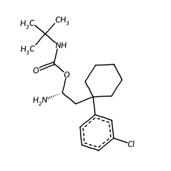 CC(C)(C)NC(=O)O[C@@H](N)CC1(c2cccc(Cl)c2)CCCCC1